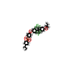 CCC(C)c1ccc(S(=O)(=O)c2ccc(Oc3ccc(C(c4ccc(OC(C)(C)CC)cc4)(C(F)(F)F)C(F)(F)F)cc3)cc2)cc1